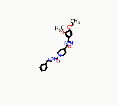 CCOc1ccc(-c2noc(C3CCN(C(=O)NCCc4ccccc4)CC3)n2)cc1OC